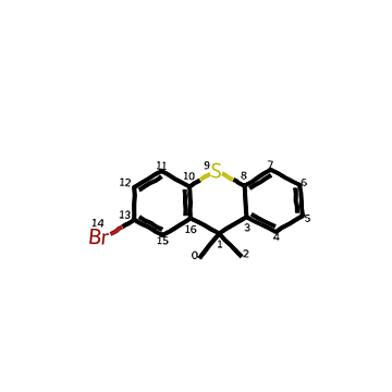 CC1(C)c2ccccc2Sc2ccc(Br)cc21